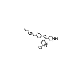 C=CCON=Cc1ccc(OC(c2ccc(Cl)nn2)C2CCNCC2)cc1